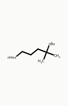 CCCCCCCC[CH]C(C)(C)CCCC